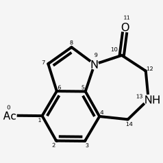 CC(=O)c1ccc2c3c1ccn3C(=O)CNC2